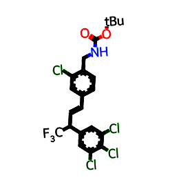 CC(C)(C)OC(=O)NCc1ccc(/C=C/C(c2cc(Cl)c(Cl)c(Cl)c2)C(F)(F)F)cc1Cl